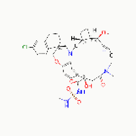 CNS(=O)(=O)NC(=O)[C@@]1(O)CC(=O)N(C)CC/C=C/[C@H](OC)[C@@H]2CC[C@H]2CN2C[C@@]3(CCCc4cc(Cl)ccc43)COc3ccc1cc32